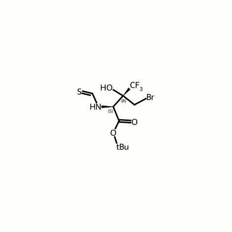 CC(C)(C)OC(=O)[C@@H](NC=S)[C@](O)(CBr)C(F)(F)F